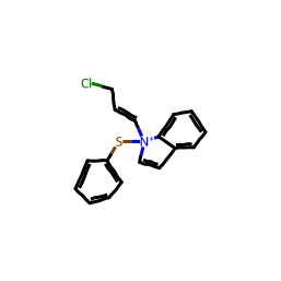 ClCC=C[N+]1(Sc2ccccc2)C=Cc2ccccc21